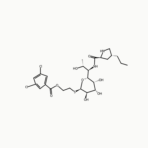 CCC[C@H]1CN[C@H](C(=O)N[C@@H]([C@H]2O[C@H](SCCOC(=O)c3cc(Cl)cc(Cl)c3)[C@H](O)[C@@H](O)[C@H]2O)[C@@H](C)O)C1